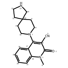 Cn1c(=O)c(C#N)c(N2CCC3(CCNC3)CC2)c2ccccc21